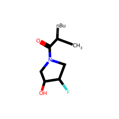 CCCCC(C)C(=O)N1CC(O)C(F)C1